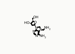 NCN1CN([C@H]2C[C@H](O)[C@@H](CO)O2)c2ncnc(N)c21